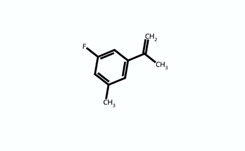 C=C(C)c1cc(C)cc(F)c1